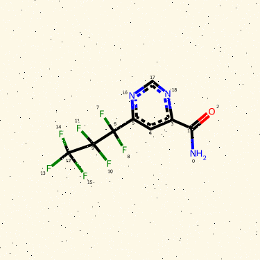 NC(=O)c1cc(C(F)(F)C(F)(F)C(F)(F)F)ncn1